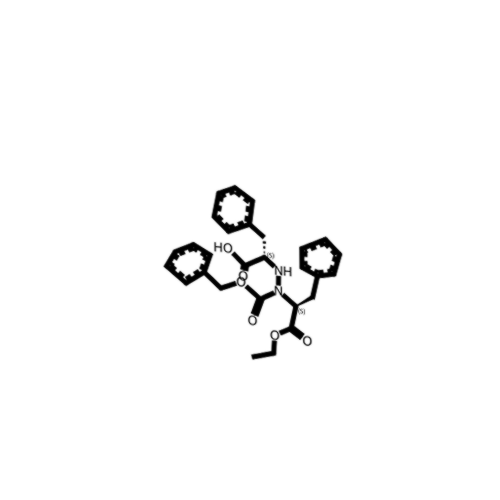 CCOC(=O)[C@H](Cc1ccccc1)N(N[C@@H](Cc1ccccc1)C(=O)O)C(=O)OCc1ccccc1